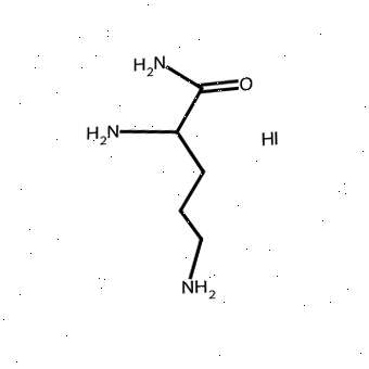 I.NCCCC(N)C(N)=O